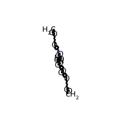 C=CC(=O)OCCCCCCOc1ccc(/C=C/C(=O)O[C@@H]2CO[C@H]3[C@@H]2OC[C@@H]3OC(=O)c2ccc(OC(=O)c3ccc(OCCCCCCOC(=O)C=C)cc3)cc2)cc1